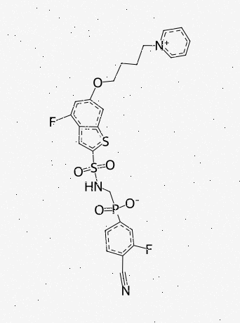 N#Cc1ccc(P(=O)([O-])CNS(=O)(=O)c2cc3c(F)cc(OCCCC[n+]4ccccc4)cc3s2)cc1F